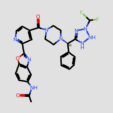 CC(=O)Nc1ccc2oc(-c3cc(C(=O)N4CCN([C@@H](C5=NN(C(F)F)NN5)c5ccccc5)CC4)ccn3)nc2c1